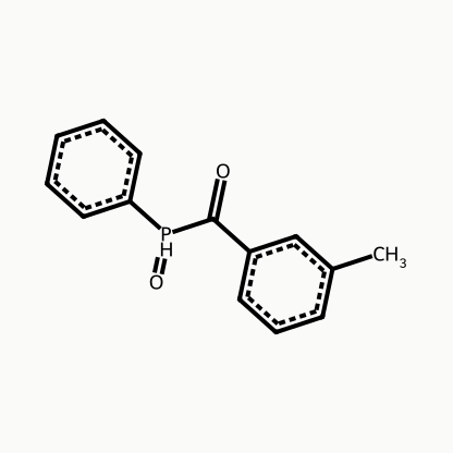 Cc1cccc(C(=O)[PH](=O)c2ccccc2)c1